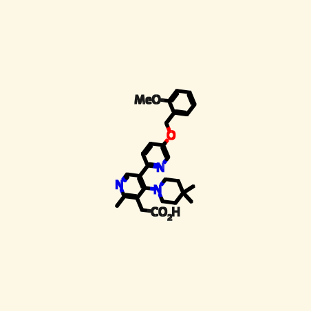 COc1ccccc1COc1ccc(-c2cnc(C)c(CC(=O)O)c2N2CCC(C)(C)CC2)nc1